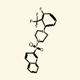 O=S(=O)(c1ccc2ccccc2c1)N1CCN(c2cccc(F)c2C(F)(F)F)CC1